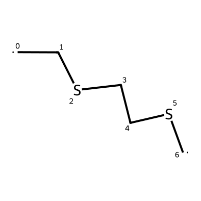 [CH2]CSCCS[CH2]